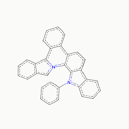 c1ccc(-n2c3ccccc3c3ccc4c5ccccc5c5c6ccccc6cn5c4c32)cc1